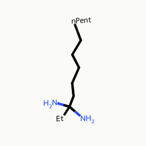 CCCCCCCCCCC(N)(N)CC